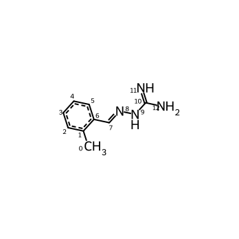 Cc1ccccc1C=NNC(=N)N